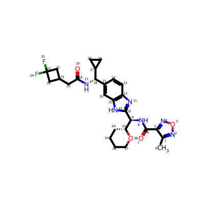 Cc1nonc1C(=O)N[C@H](c1nc2ccc([C@H](NC(=O)CC3CC(F)(F)C3)C3CC3)cc2[nH]1)[C@H]1CCCCO1